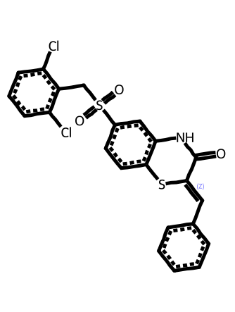 O=C1Nc2cc(S(=O)(=O)Cc3c(Cl)cccc3Cl)ccc2S/C1=C\c1ccccc1